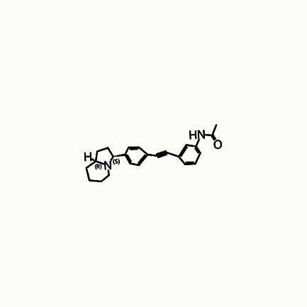 CC(=O)Nc1cccc(C#Cc2ccc([C@@H]3CC[C@H]4CCCCN43)cc2)c1